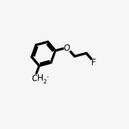 [CH2]c1cccc(OCCF)c1